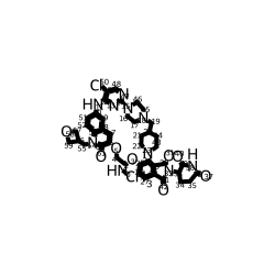 CNC(=O)COc1cc2cc(Nc3nc(N4CCN(CC5CCN(c6cccc7c6C(=O)N(C6CCC(=O)NC6=O)C7=O)CC5)CC4)ncc3Cl)ccc2n(CC2COC2)c1=O